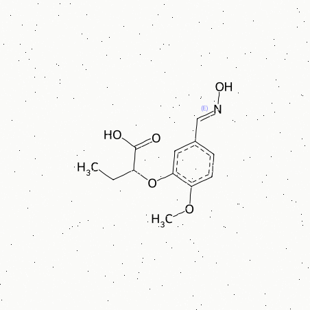 CCC(Oc1cc(/C=N/O)ccc1OC)C(=O)O